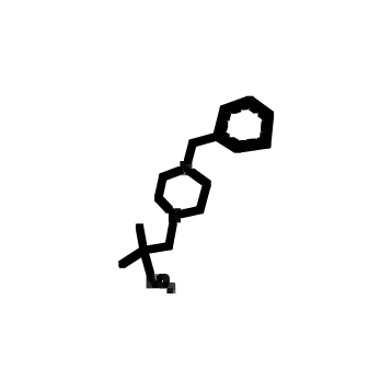 CC(C)(CN1CCN(Cc2ccccc2)CC1)[N+](=O)[O-]